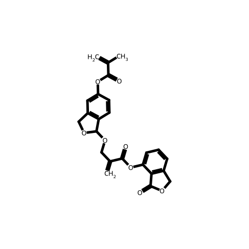 C=C(C)C(=O)Oc1ccc2c(c1)COC2OCC(=C)C(=O)Oc1cccc2c1C(=O)OC2